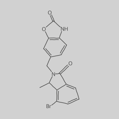 CC1c2c(Br)cccc2C(=O)N1Cc1ccc2[nH]c(=O)oc2c1